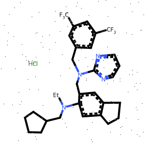 CCN(CC1CCCC1)c1cc2c(cc1CN(Cc1cc(C(F)(F)F)cc(C(F)(F)F)c1)c1ncccn1)CCC2.Cl